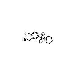 O=S(=O)(c1ccc(Cl)c(CBr)c1)N1CCCCC1